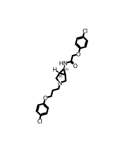 O=C(COc1ccc(Cl)cc1)N[C@H]1C2CN(CCCOc3ccc(Cl)cc3)C[C@@H]21